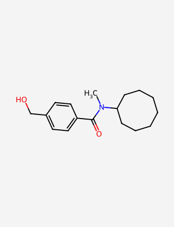 CN(C(=O)c1ccc(CO)cc1)C1CCCCCCC1